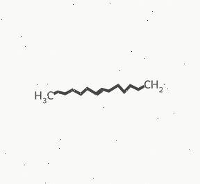 [CH2]CCCCCC=CCCCCCC